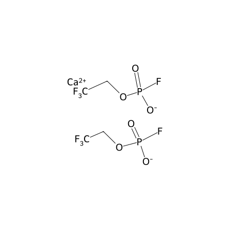 O=P([O-])(F)OCC(F)(F)F.O=P([O-])(F)OCC(F)(F)F.[Ca+2]